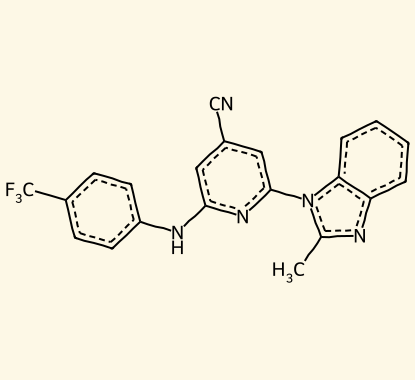 Cc1nc2ccccc2n1-c1cc(C#N)cc(Nc2ccc(C(F)(F)F)cc2)n1